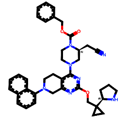 N#CC[C@H]1CN(c2nc(OCC3([C@H]4CCCN4)CC3)nc3c2CCN(c2cccc4ccccc24)C3)CCN1C(=O)OCc1ccccc1